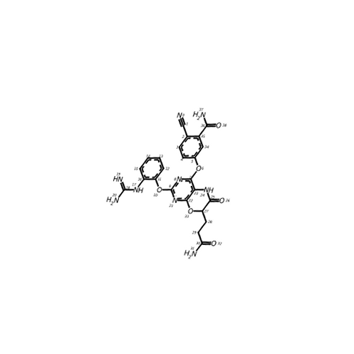 N#Cc1ccc(Oc2nc(Oc3ccccc3NC(=N)N)nc3c2NC(=O)C(CCC(N)=O)O3)cc1C(N)=O